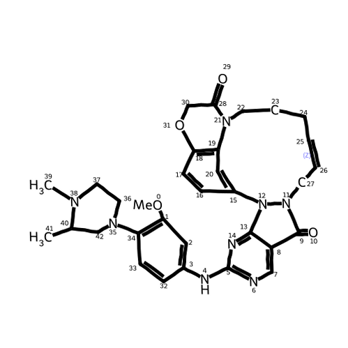 COc1cc(Nc2ncc3c(=O)n4n(c3n2)-c2ccc3c(c2)N(CCC/C=C\C4)C(=O)CO3)ccc1N1CCN(C)C(C)C1